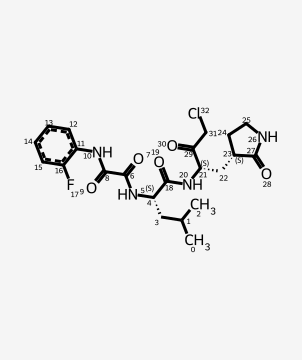 CC(C)C[C@H](NC(=O)C(=O)Nc1ccccc1F)C(=O)N[C@@H](C[C@@H]1CCNC1=O)C(=O)CCl